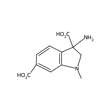 CN1CC(N)(C(=O)O)c2ccc(C(=O)O)cc21